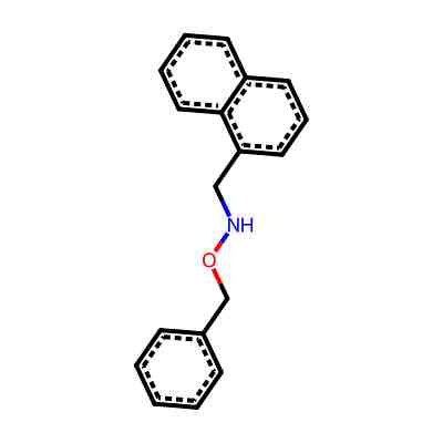 c1ccc(CONCc2cccc3ccccc23)cc1